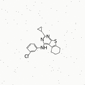 Clc1cccc(Nc2nc(C3CC3)nc3sc4c(c23)CCCC4)c1